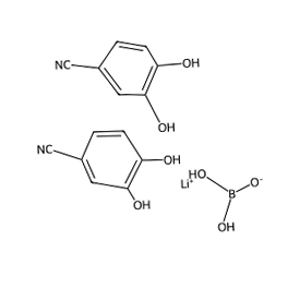 N#Cc1ccc(O)c(O)c1.N#Cc1ccc(O)c(O)c1.[Li+].[O-]B(O)O